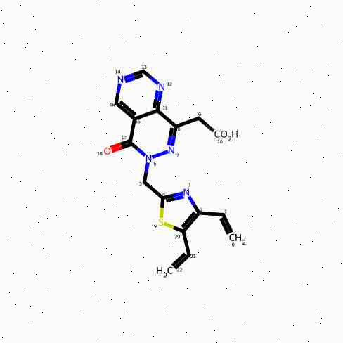 C=Cc1nc(Cn2nc(CC(=O)O)c3ncncc3c2=O)sc1C=C